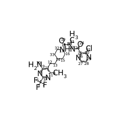 Cc1nc(C(F)(F)F)nc(N)c1CCC1CCN(C(=O)[C@H](C)NC(=O)c2nccnc2Cl)CC1